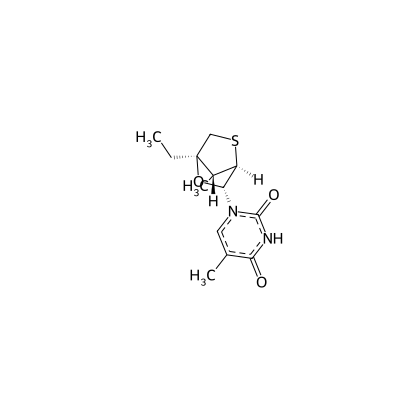 CC[C@@]12CS[C@@H]([C@H](n3cc(C)c(=O)[nH]c3=O)O1)[C@@H]2C